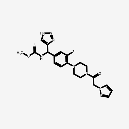 COC(=S)NC(c1ccc(N2CCN(C(=O)Cn3cccn3)CC2)c(F)c1)c1c[nH]nn1